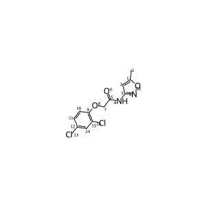 Cc1cc(NC(=O)COc2ccc(Cl)cc2Cl)no1